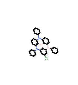 Clc1cc2c3c(c1)N(c1ccccc1)c1cccc4c1B3c1c(cccc1N4c1ccccc1)B2c1ccccc1